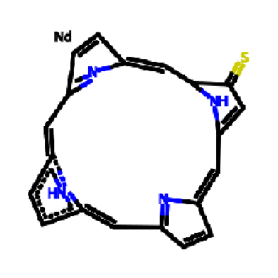 S=C1C=C2C=C3C=CC(=N3)C=c3ccc([nH]3)=CC3=NC(=CC1N2)C=C3.[Nd]